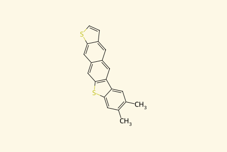 Cc1cc2sc3cc4cc5sccc5cc4cc3c2cc1C